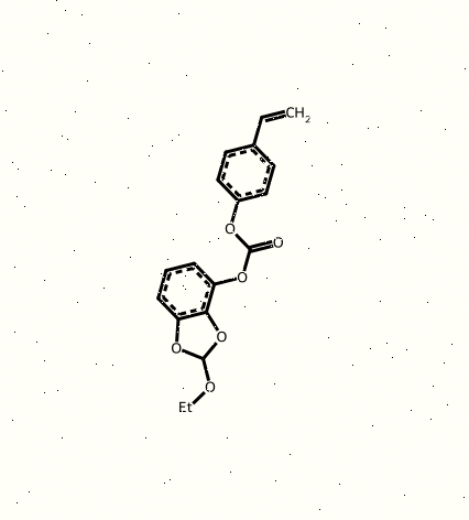 C=Cc1ccc(OC(=O)Oc2cccc3c2OC(OCC)O3)cc1